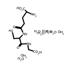 NC(CCC(=O)NC(CS)C(=O)NCC(=O)O)C(=O)O.O.O.O.O.O.O.O.O